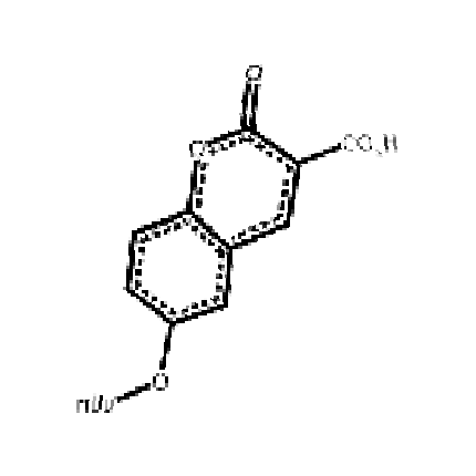 CCCCOc1ccc2oc(=O)c(C(=O)O)cc2c1